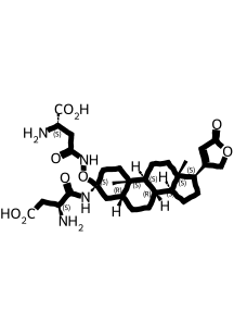 C[C@]12CC[C@](NC(=O)[C@@H](N)CC(=O)O)(ONC(=O)C[C@H](N)C(=O)O)C[C@H]1CC[C@@H]1[C@@H]2CC[C@]2(C)[C@@H](C3=CC(=O)OC3)CC[C@@H]12